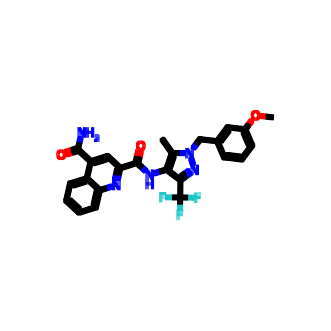 COc1cccc(Cn2nc(C(F)(F)F)c(NC(=O)c3cc(C(N)=O)c4ccccc4n3)c2C)c1